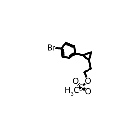 CS(=O)(=O)OCCC1CC1c1ccc(Br)cc1